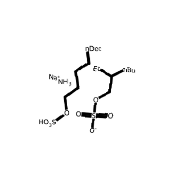 CCCCC(CC)COS(=O)(=O)[O-].CCCCCCCCCCCCCCOS(=O)(=O)O.N.[Na+]